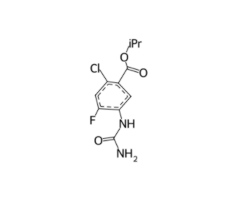 CC(C)OC(=O)c1cc(NC(N)=O)c(F)cc1Cl